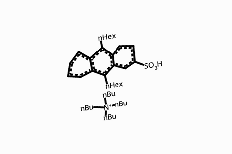 CCCCCCc1c2ccccc2c(CCCCCC)c2cc(S(=O)(=O)O)ccc12.CCCC[N+](CCCC)(CCCC)CCCC